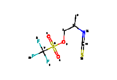 CC(COS(=O)(=O)C(F)(F)F)N=C=S